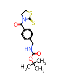 CC(C)(C)OC(=O)NCc1ccc(C(=O)N2CCSC2=S)cc1